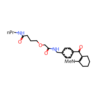 CCCNC(=O)CCCOCC(=O)NCc1ccc(C(=O)C2=C(NC)CCCC2)cc1